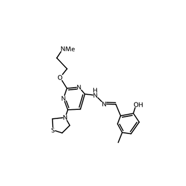 CNCCOc1nc(N/N=C/c2cc(C)ccc2O)cc(N2CCSC2)n1